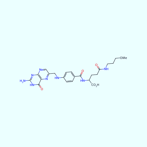 COCCCNC(=O)CCC(NC(=O)c1ccc(NCc2cnc3nc(N)[nH]c(=O)c3n2)cc1)C(=O)O